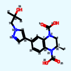 C[C@H]1CN(C(=O)O)c2cc(-c3cnn(CC(C)(C)O)c3)ccc2N1C(=O)O